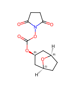 O=C(O[C@H]1C[C@H]2CC[C@@H](C1)O2)ON1C(=O)CCC1=O